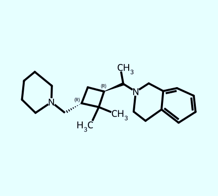 CC([C@@H]1C[C@@H](CN2CCCCC2)C1(C)C)N1CCc2ccccc2C1